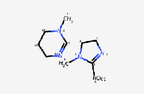 CCCCCCCCC1=NCCN1C.CN1C=NCCC1